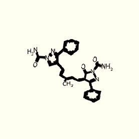 CC(C=Cc1cn(C(N)=O)nc1-c1ccccc1)=CC=C1C(=O)N(C(N)=O)N=C1c1ccccc1